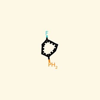 Fc1ccc(P)cc1